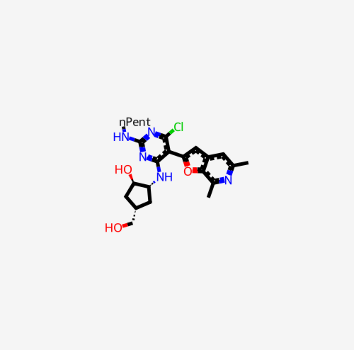 CCCCCNc1nc(Cl)c(-c2cc3cc(C)nc(C)c3o2)c(N[C@@H]2C[C@H](CO)C[C@H]2O)n1